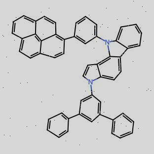 c1ccc(-c2cc(-c3ccccc3)cc(-n3ccc4c3ccc3c5ccccc5n(-c5cccc(-c6ccc7ccc8cccc9ccc6c7c89)c5)c34)c2)cc1